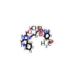 CCOCc1nc2cnc3ccccc3c2n1CCCCS(=O)(=O)Nc1ccc(OC)cc1